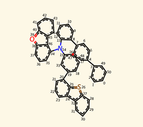 c1ccc(-c2ccc(-c3ccccc3N(c3cccc(-c4cccc5c4sc4ccccc45)c3)c3cccc4oc5ccccc5c34)cc2)cc1